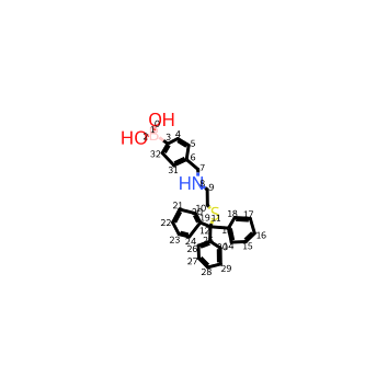 OB(O)c1ccc(CNCCSC(c2ccccc2)(c2ccccc2)c2ccccc2)cc1